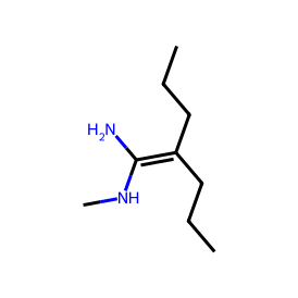 CCCC(CCC)=C(N)NC